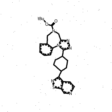 CC(C)(C)OC(=O)N1Cc2ccccc2-n2c(nnc2C2CCC(c3nsc4cnccc34)CC2)C1